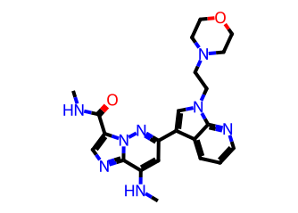 CNC(=O)c1cnc2c(NC)cc(-c3cn(CCN4CCOCC4)c4ncccc34)nn12